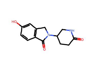 O=C1CCC(N2Cc3cc(O)ccc3C2=O)CN1